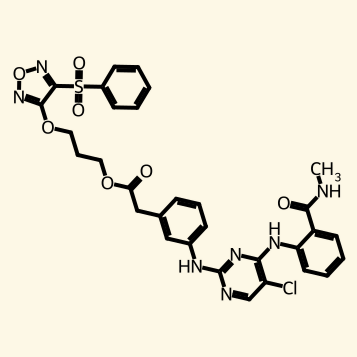 CNC(=O)c1ccccc1Nc1nc(Nc2cccc(CC(=O)OCCCOc3nonc3S(=O)(=O)c3ccccc3)c2)ncc1Cl